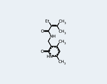 CCC(C(=O)NCc1c(C)cc(C)[nH]c1=O)=C(C)C